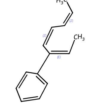 C\C=C/C=C\C(=C/C)c1ccccc1